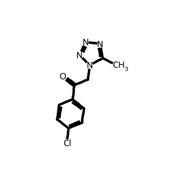 Cc1nnnn1CC(=O)c1ccc(Cl)cc1